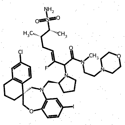 C[C@H]([C@@H](C)C/C=C(\F)C(C(=O)N(C)CCN1CCOCC1)N1CCC[C@H]1CN1C[C@@]2(CCCc3cc(Cl)ccc32)COc2ccc(I)cc21)S(N)(=O)=O